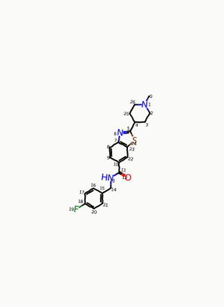 CN1CCC(c2nc3ccc(C(=O)NCc4ccc(F)cc4)cc3s2)CC1